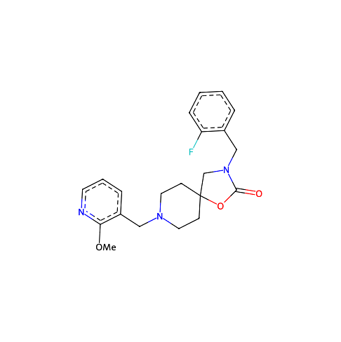 COc1ncccc1CN1CCC2(CC1)CN(Cc1ccccc1F)C(=O)O2